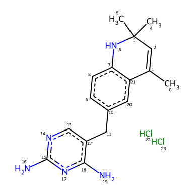 CC1=CC(C)(C)Nc2ccc(Cc3cnc(N)nc3N)cc21.Cl.Cl